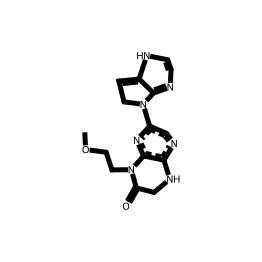 COCCN1C(=O)CNc2ncc(N3CC=C4NC=CN=C43)nc21